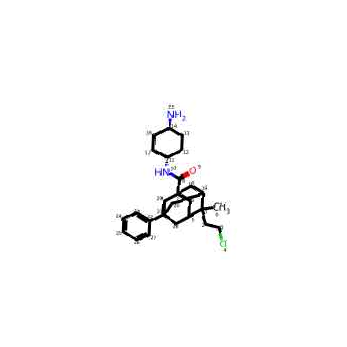 CC1(CCCl)C2CC3(C(=O)N[C@H]4CC[C@H](N)CC4)CC1CC(c1ccccc1)(C2)C3